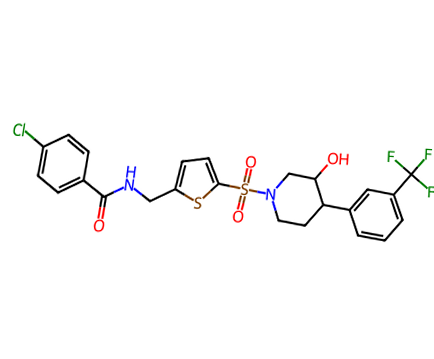 O=C(NCc1ccc(S(=O)(=O)N2CCC(c3cccc(C(F)(F)F)c3)C(O)C2)s1)c1ccc(Cl)cc1